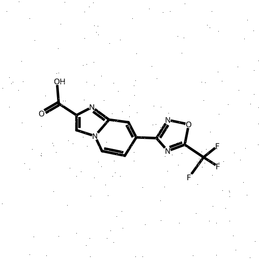 O=C(O)c1cn2ccc(-c3noc(C(F)(F)F)n3)cc2n1